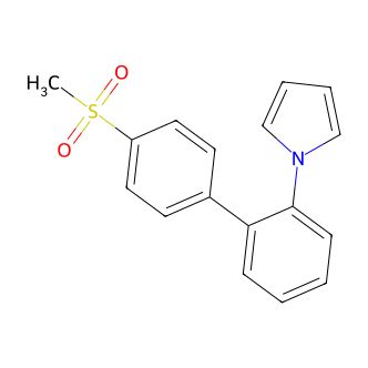 CS(=O)(=O)c1ccc(-c2ccccc2-n2cccc2)cc1